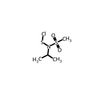 CC(C)N(SCl)S(C)(=O)=O